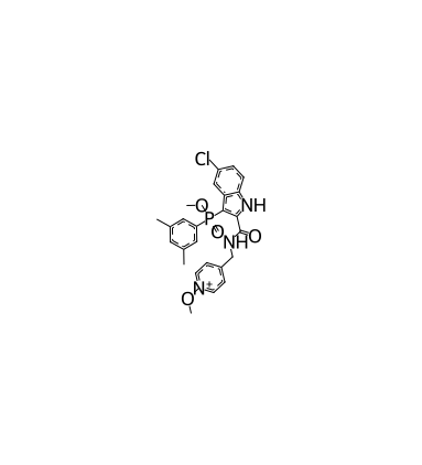 CO[n+]1ccc(CNC(=O)c2[nH]c3ccc(Cl)cc3c2P(=O)(OC)c2cc(C)cc(C)c2)cc1